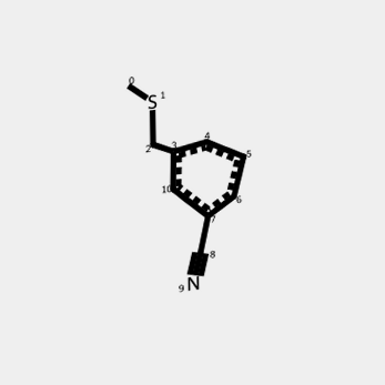 CSCc1cccc(C#N)c1